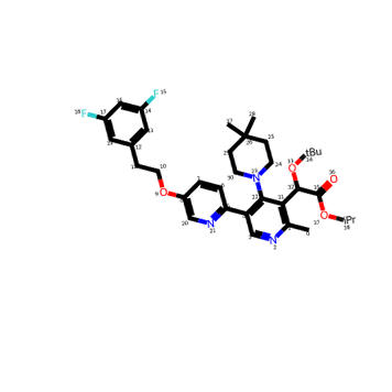 Cc1ncc(-c2ccc(OCCc3cc(F)cc(F)c3)cn2)c(N2CCC(C)(C)CC2)c1C(OC(C)(C)C)C(=O)OC(C)C